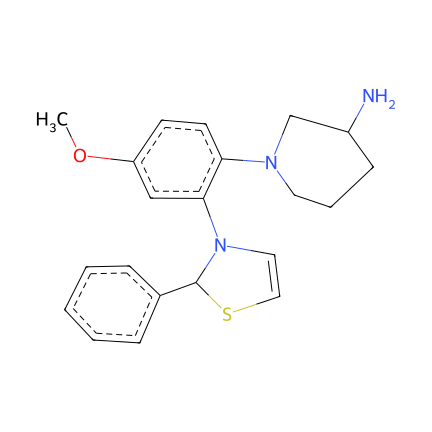 COc1ccc(N2CCCC(N)C2)c(N2C=CSC2c2ccccc2)c1